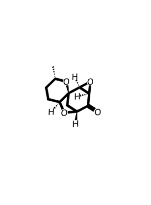 C[C@H]1CC[C@@H]2O[C@@H]3C[C@@]2(O1)[C@H]1O[C@H]1C3=O